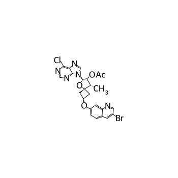 CC(=O)OC1[C@H](n2cnc3c(Cl)ncnc32)O[C@]2(C[C@H](Oc3ccc4cc(Br)cnc4c3)C2)[C@H]1C